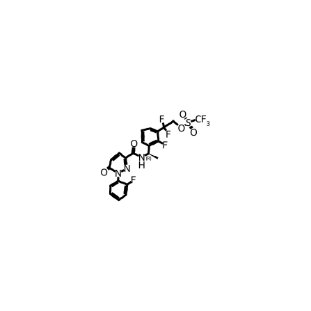 C[C@@H](NC(=O)c1ccc(=O)n(-c2ccccc2F)n1)c1cccc(C(F)(F)COS(=O)(=O)C(F)(F)F)c1F